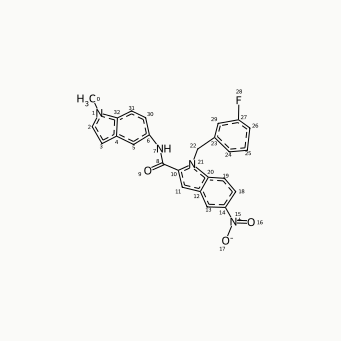 Cn1ccc2cc(NC(=O)c3cc4cc([N+](=O)[O-])ccc4n3Cc3cccc(F)c3)ccc21